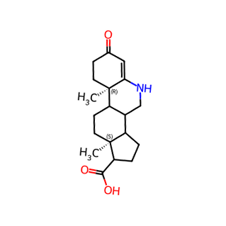 C[C@]12CCC3C(CNC4=CC(=O)CC[C@@]43C)C1CCC2C(=O)O